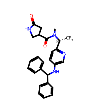 CN(C(=O)C1CNC(=O)C1)[C@@H](c1ccc(NC(c2ccccc2)c2ccccc2)cn1)C(F)(F)F